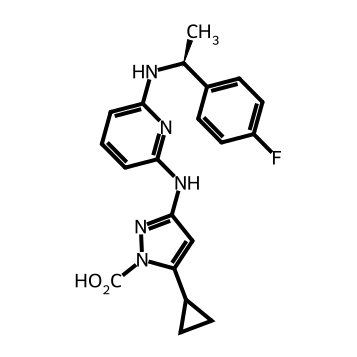 C[C@H](Nc1cccc(Nc2cc(C3CC3)n(C(=O)O)n2)n1)c1ccc(F)cc1